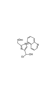 CCCCCCCCCCCc1nc(C(O)CC)c[nH]1.c1ccc2ncccc2c1